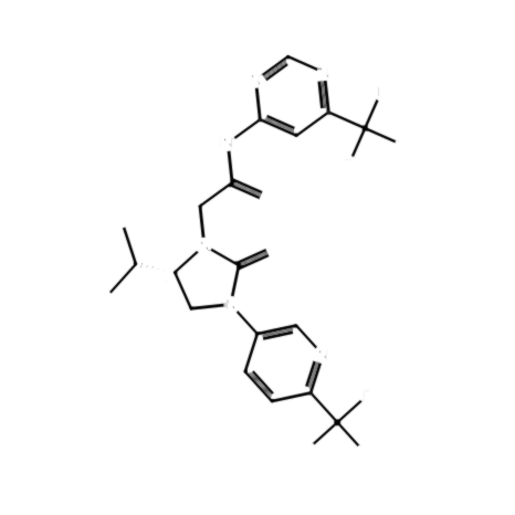 CC(C)[C@H]1CN(c2ccc(C(F)(F)F)nc2)C(=O)N1CC(=O)Nc1cc(C(F)(F)F)ncn1